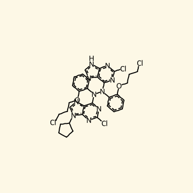 ClCCCOc1ccccc1N(c1nc(Cl)nc2[nH]cnc12)N(c1ccccc1OCCCCl)c1nc(Cl)nc2c1ncn2C1CCCC1